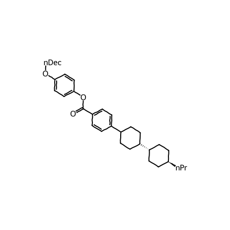 CCCCCCCCCCOc1ccc(OC(=O)c2ccc(C3CCC([C@H]4CC[C@H](CCC)CC4)CC3)cc2)cc1